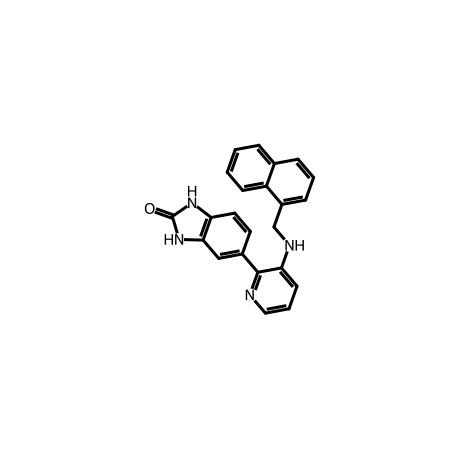 O=c1[nH]c2ccc(-c3ncccc3NCc3cccc4ccccc34)cc2[nH]1